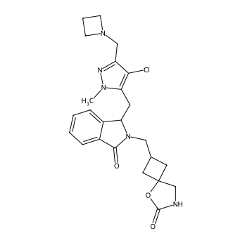 Cn1nc(CN2CCC2)c(Cl)c1CC1c2ccccc2C(=O)N1CC1CC2(CNC(=O)O2)C1